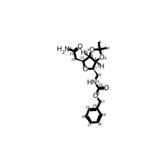 CC1(C)O[C@@H]2[C@H](O1)[C@@H](CNC(=O)OCc1ccccc1)O[C@H]2CC(N)=O